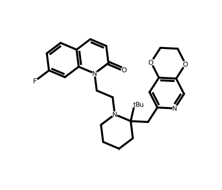 CC(C)(C)C1(Cc2cc3c(cn2)OCCO3)C[CH]CCN1CCn1c(=O)ccc2ccc(F)cc21